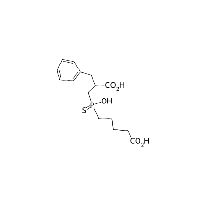 O=C(O)CCCCP(O)(=S)CC(Cc1ccccc1)C(=O)O